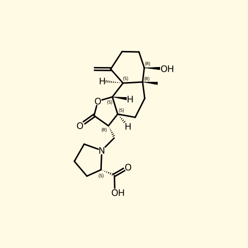 C=C1CC[C@@H](O)[C@]2(C)CC[C@@H]3[C@H](OC(=O)[C@H]3CN3CCC[C@H]3C(=O)O)[C@@H]12